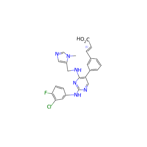 Cn1cncc1CNc1nc(Nc2ccc(F)c(Cl)c2)ncc1-c1cccc(/C=C/C(=O)O)c1